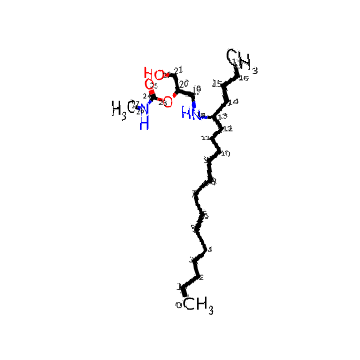 CCCCCCCCCCCCCC(CCCC)NCC(CO)OC(=O)NC